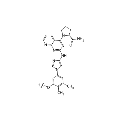 COc1cc(-n2cnc(Nc3nc(N4CCC[C@H]4C(N)=O)c4cccnc4n3)c2)cc(C)c1C